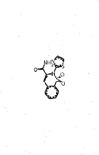 NC(=O)C1=Cc2ccccc2S(=O)(=O)N1c1nccs1